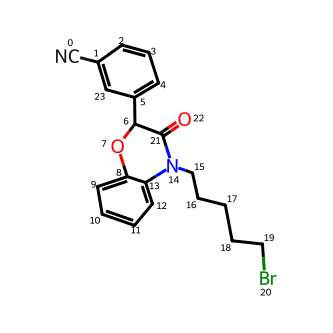 N#Cc1cccc(C2Oc3ccccc3N(CCCCCBr)C2=O)c1